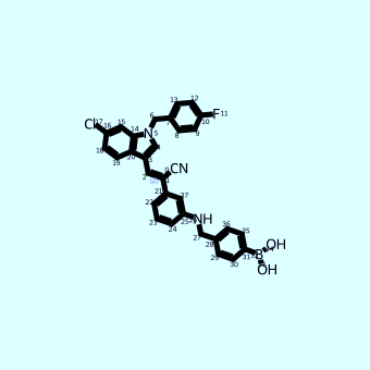 N#C/C(=C\c1cn(Cc2ccc(F)cc2)c2cc(Cl)ccc12)c1cccc(NCc2ccc(B(O)O)cc2)c1